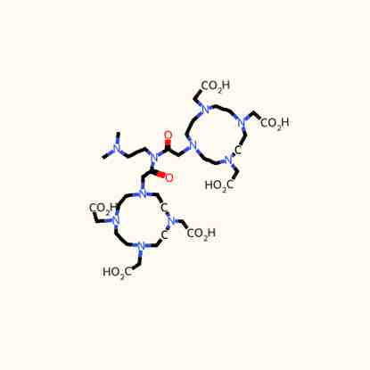 CN(C)CCN(C(=O)CN1CCN(CC(=O)O)CCN(CC(=O)O)CCN(CC(=O)O)CC1)C(=O)CN1CCN(CC(=O)O)CCN(CC(=O)O)CCN(CC(=O)O)CC1